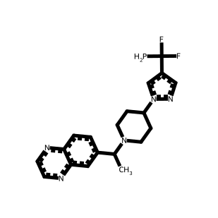 CC(c1ccc2nccnc2c1)N1CCC(n2cc(C(F)(F)P)cn2)CC1